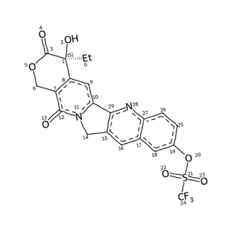 CC[C@@]1(O)C(=O)OCc2c1cc1n(c2=O)Cc2cc3cc(OS(=O)(=O)C(F)(F)F)ccc3nc2-1